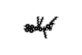 CCCCCCCCC1(CCCCCCCC)c2cc(-c3ccc4c(c3)C3(c5cc(C)ccc5-c5ccc(C)cc53)c3cc(C)ccc3-4)ccc2-c2ccc(-c3sc(-c4ccc(-c5cc(CCCCCC)c(C)s5)c5nsnc45)cc3CCCCCC)cc21